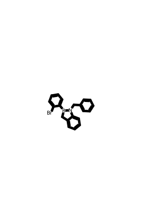 Brc1ccccc1B1Cc2ccccc2N1Cc1ccccc1